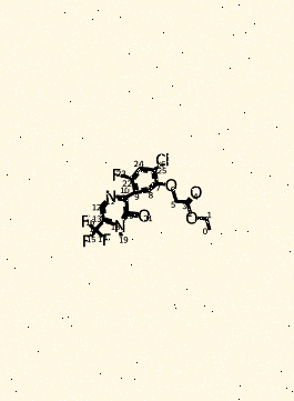 CCOC(=O)COc1cc(-c2ncc(C(F)(F)F)n(C)c2=O)c(F)cc1Cl